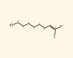 C[CH]SCCCCCC=C(F)F